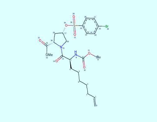 C=CCCCCC[C@H](NC(=O)OC(C)(C)C)C(=O)N1C[C@@H](OS(=O)(=O)c2ccc(Br)cc2)C[C@H]1C(=O)OC